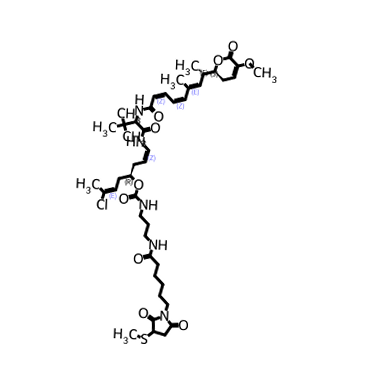 COC1=CC[C@@H]([C@@H](C)/C=C(C)/C=C\C=C/C(=O)NC(C(=O)N/C=C\C[C@H](C/C=C(\C)Cl)OC(=O)NCCCNC(=O)CCCCCN2C(=O)CC(SC)C2=O)C(C)(C)C)OC1=O